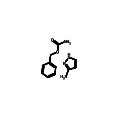 NC(=O)OCc1ccccc1.Nc1cc[nH]n1